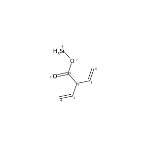 C=CC(C=C)C(=O)O[SiH3]